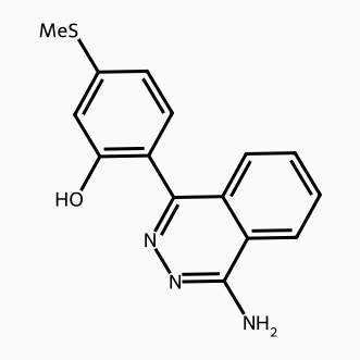 CSc1ccc(-c2nnc(N)c3ccccc23)c(O)c1